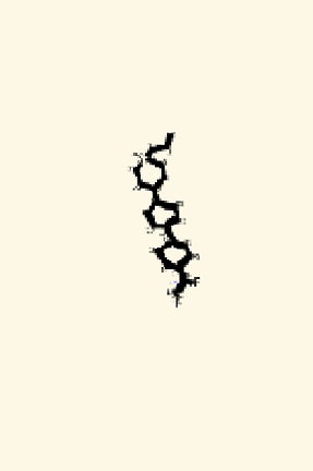 CCC[Si]1(C)CCC(c2ccc(-c3ccc(/C(F)=C/F)cc3)cc2)CC1